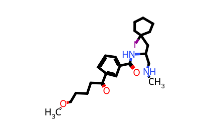 CNCC(CC1(I)CCCCC1)NC(=O)c1cccc(C(=O)CCCCOC)c1